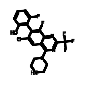 Oc1cccc(F)c1-c1c(Cl)cc2c(N3CCNCC3)nc(C(F)(F)F)nc2c1F